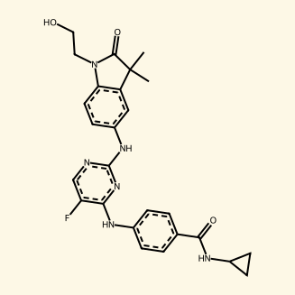 CC1(C)C(=O)N(CCO)c2ccc(Nc3ncc(F)c(Nc4ccc(C(=O)NC5CC5)cc4)n3)cc21